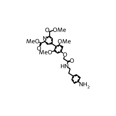 COC(=O)c1cc(-c2c(OC)cc(OCC(=O)NCCc3ccc(N)cc3)cc2OC)cc(C(=O)OC)n1